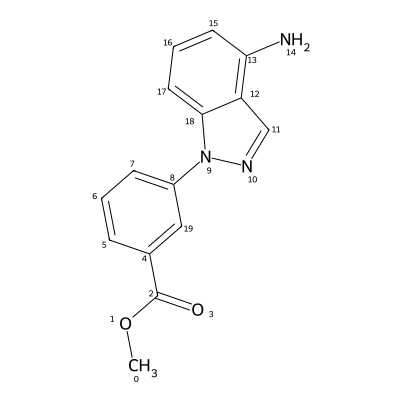 COC(=O)c1cccc(-n2ncc3c(N)cccc32)c1